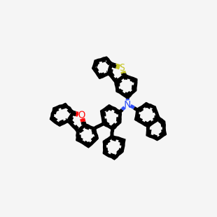 c1ccc(-c2cc(N(c3ccc4ccccc4c3)c3ccc4sc5ccccc5c4c3)ccc2-c2cccc3c2oc2ccccc23)cc1